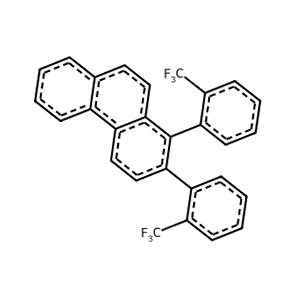 FC(F)(F)c1ccccc1-c1ccc2c(ccc3ccccc32)c1-c1ccccc1C(F)(F)F